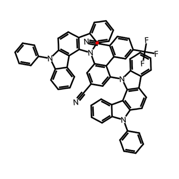 N#Cc1cc(-n2c3ccccc3c3ccc4c(c5ccccc5n4-c4ccccc4)c32)c(-c2cc(C(F)(F)F)ccc2C#N)c(-n2c3ccccc3c3ccc4c(c5ccccc5n4-c4ccccc4)c32)c1